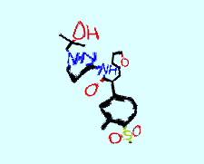 Cc1cc(C(CC2CCCO2)C(=O)Nc2ccn(CC(C)(C)O)n2)ccc1S(C)(=O)=O